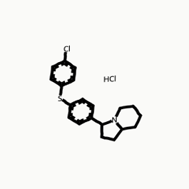 Cl.Clc1ccc(Sc2ccc(C3CCC4CCCCN43)cc2)cc1